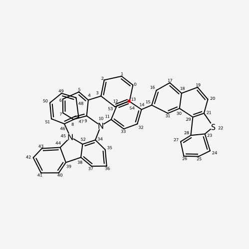 c1ccc(-c2ccccc2N(c2ccc(-c3ccc4ccc5sc6ccccc6c5c4c3)cc2)c2cccc3c4ccccc4n(-c4ccccc4)c23)cc1